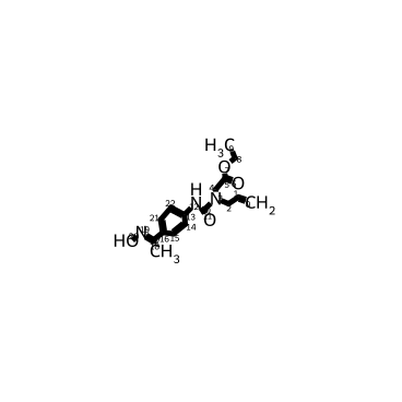 C=CCN(CC(=O)OCC)C(=O)Nc1ccc(/C(C)=N/O)cc1